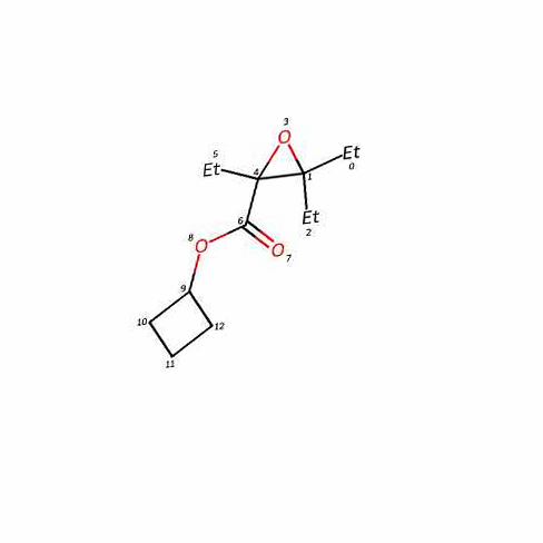 CCC1(CC)OC1(CC)C(=O)OC1CCC1